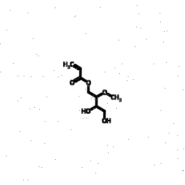 C=CC(=O)OCC(OC)C(O)CO